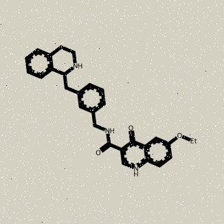 CCOc1ccc2[nH]cc(C(=O)NCc3cccc(CC4NCCc5ccccc54)c3)c(=O)c2c1